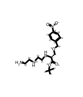 CC(C)(C)OC(=O)[C@H](COCc1ccc([N+](=O)[O-])cc1)NCCNCCN